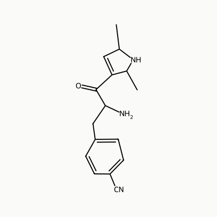 CC1C=C(C(=O)C(N)Cc2ccc(C#N)cc2)C(C)N1